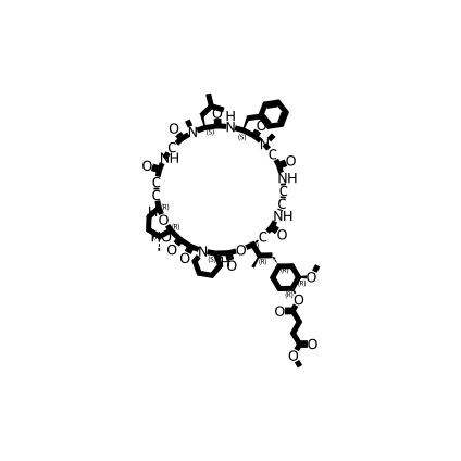 COC(=O)CCC(=O)O[C@@H]1CC[C@H](C[C@@H](C)[C@H]2CC(=O)NCCNC(=O)CN(C)C(=O)[C@H](Cc3ccccc3)NC(=O)[C@H](CC(C)C)N(C)C(=O)CNC(=O)CC[C@H]3CC[C@@H](C)[C@@](O)(O3)C(=O)C(=O)N3CCCC[C@H]3C(=O)O2)C[C@H]1OC